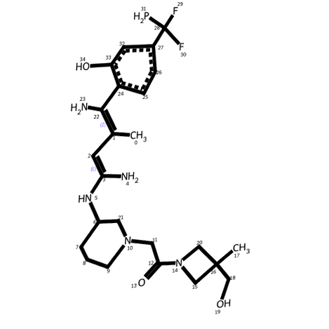 CC(/C=C(\N)NC1CCCN(CC(=O)N2CC(C)(CO)C2)C1)=C(/N)c1ccc(C(F)(F)P)cc1O